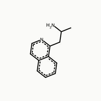 CC(N)Cc1nccc2ccccc12